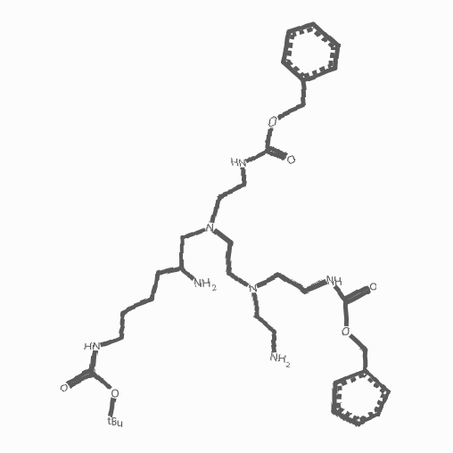 CC(C)(C)OC(=O)NCCCCC(N)CN(CCNC(=O)OCc1ccccc1)CCN(CCN)CCNC(=O)OCc1ccccc1